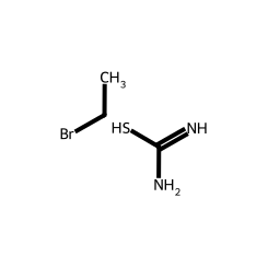 CCBr.N=C(N)S